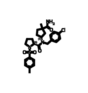 Cc1ccc(S(=O)(=O)N2CCC[C@H]2C(=O)N(Cc2ccc(Cl)cc2)[C@@H]2CCC(C)(C(N)=O)C2)cc1